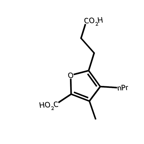 CCCc1c(CCC(=O)O)oc(C(=O)O)c1C